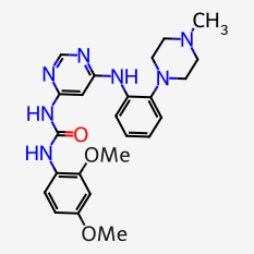 COc1ccc(NC(=O)Nc2cc(Nc3ccccc3N3CCN(C)CC3)ncn2)c(OC)c1